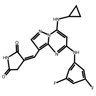 O=C1CC(=Cc2cnn3c(NC4CC4)cc(Nc4cc(F)cc(F)c4)nc23)C(=O)N1